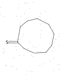 S=C1[CH]CCCCCCCC1